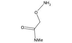 CNC(=O)CON